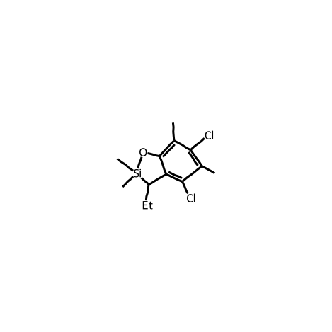 CCC1c2c(Cl)c(C)c(Cl)c(C)c2O[Si]1(C)C